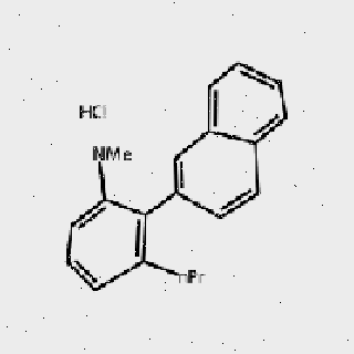 Cl.[CH2]CCc1cccc(NC)c1-c1ccc2ccccc2c1